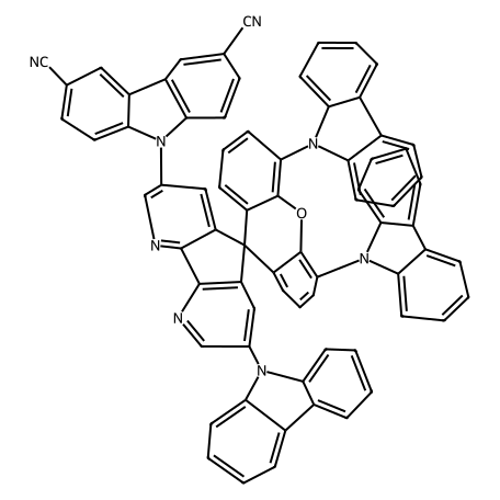 N#Cc1ccc2c(c1)c1cc(C#N)ccc1n2-c1cnc2c(c1)C1(c3cc(-n4c5ccccc5c5ccccc54)cnc3-2)c2cccc(-n3c4ccccc4c4ccccc43)c2Oc2c(-n3c4ccccc4c4ccccc43)cccc21